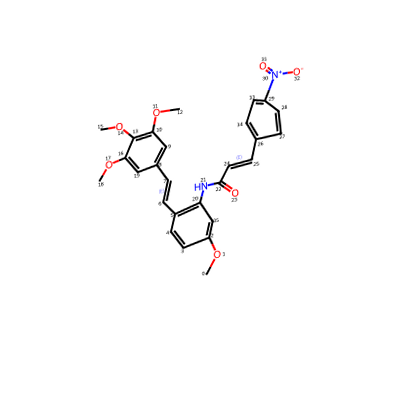 COc1ccc(/C=C/c2cc(OC)c(OC)c(OC)c2)c(NC(=O)/C=C/c2ccc([N+](=O)[O-])cc2)c1